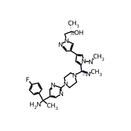 C=Nn1cc(-c2cnn(C[C@H](C)O)c2)cc1/C(=N\C)N1CCN(c2ncc(C(C)(N)c3ccc(F)cc3)cn2)CC1